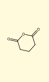 O=C1[CH]CCC(=O)O1